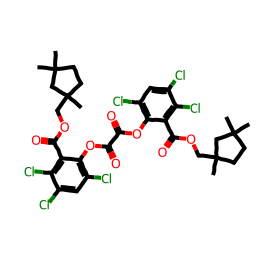 CC1(C)CCC(C)(COC(=O)c2c(Cl)c(Cl)cc(Cl)c2OC(=O)C(=O)Oc2c(Cl)cc(Cl)c(Cl)c2C(=O)OCC2(C)CCC(C)(C)C2)C1